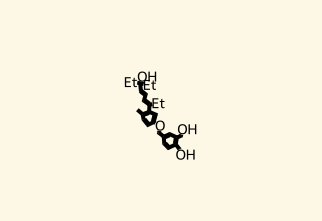 CCC(=CC=CC(O)(CC)CC)c1cc(OCc2ccc(CO)c(CO)c2)ccc1C